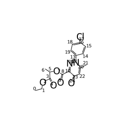 CCOC(=O)C(C)OC(=O)c1nn(-c2ccc(Cl)cc2)c(C)cc1=O